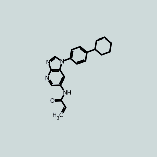 C=CC(=O)Nc1cnc2ncn(-c3ccc(C4CCCCC4)cc3)c2c1